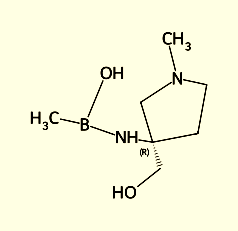 CB(O)N[C@]1(CO)CCN(C)C1